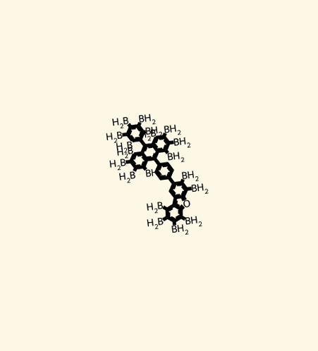 Bc1c(B)c(B)c(-c2c3c(B)c(B)c(B)c(B)c3c(-c3ccc(-c4cc5c(oc6c(B)c(B)c(B)c(B)c65)c(B)c4B)cc3)c3c(B)c(B)c(B)c(B)c23)c(B)c1B